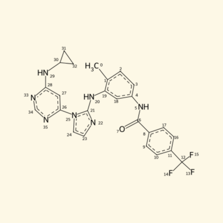 Cc1ccc(NC(=O)c2ccc(C(F)(F)F)cc2)cc1Nc1nccn1-c1cc(NC2CC2)ncn1